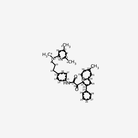 Cc1cc(C)nc(N(C)CCCc2ccc(NC(=O)C(=O)c3c(-c4ccccc4)cc4cc(C)ccn34)cc2)c1